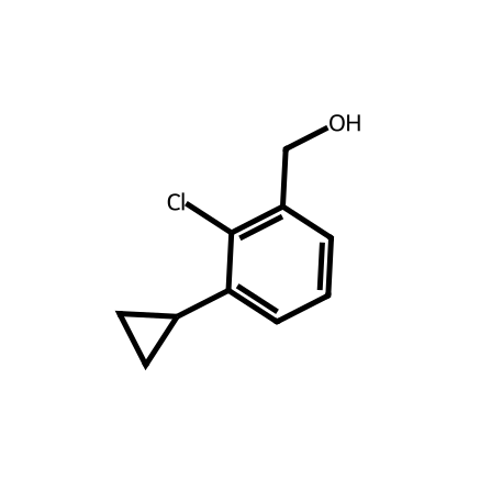 OCc1cccc(C2CC2)c1Cl